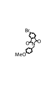 COc1ccc(CN2C(=O)c3ccc(Br)cc3C2=O)cc1